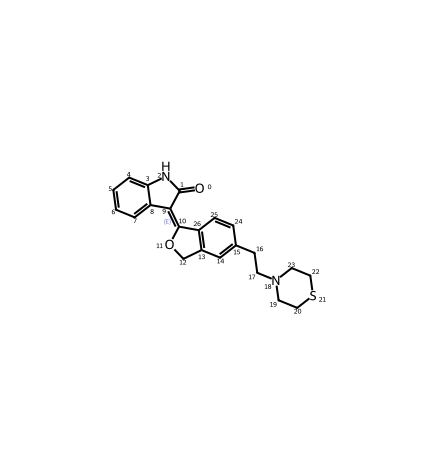 O=C1Nc2ccccc2/C1=C1\OCc2cc(CCN3CCSCC3)ccc21